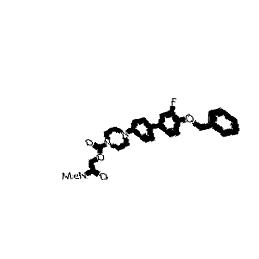 CNC(=O)COC(=O)N1CCN(c2ccc(-c3ccc(OCc4ccccc4)c(F)c3)cc2)CC1